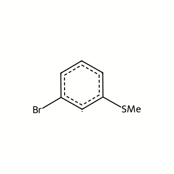 CSc1[c]c(Br)ccc1